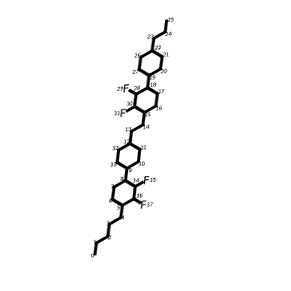 CCCCCC1CCC(C2CCC(CCC3CCC(C4CCC(CCC)CC4)C(F)C3F)CC2)C(F)C1F